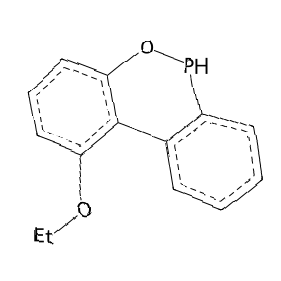 CCOc1cccc2c1-c1ccccc1PO2